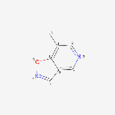 Cc1cncc2cnoc12